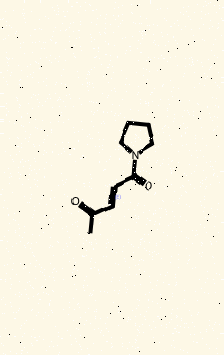 CC(=O)/C=C/C(=O)N1CCCC1